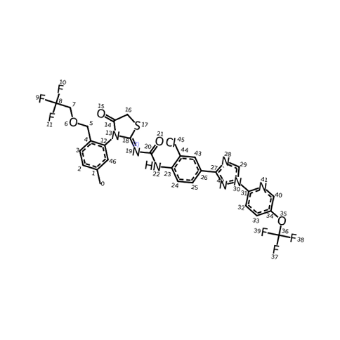 Cc1ccc(COCC(F)(F)F)c(N2C(=O)CS/C2=N\C(=O)Nc2ccc(-c3ncn(-c4ccc(OC(F)(F)F)cn4)n3)cc2Cl)c1